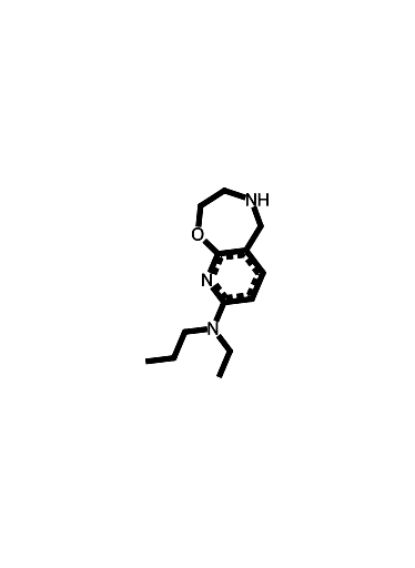 CCCN(CC)c1ccc2c(n1)OCCNC2